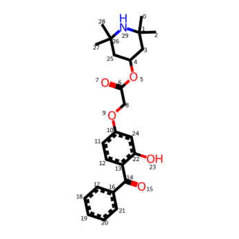 CC1(C)CC(OC(=O)COc2ccc(C(=O)c3ccccc3)c(O)c2)CC(C)(C)N1